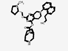 CN1CCC[C@H]1COc1nc2c(c(OC(=O)N3C4CCC3CNC4)n1)CCN(c1cccc3cccc(CCC#N)c13)C2